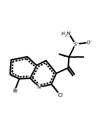 C=C(c1cc2cccc(Br)c2nc1Cl)C(C)(C)[S+](N)[O-]